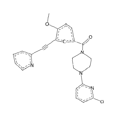 COc1ccc(C(=O)N2CCN(c3cccc(Cl)n3)CC2)cc1C#Cc1ccccn1